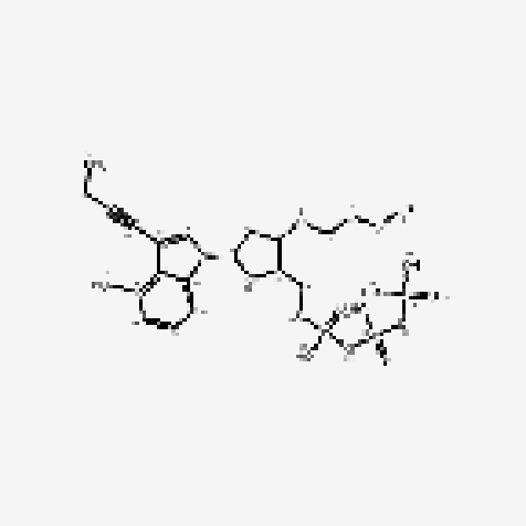 CC(C)(C)SSCO[C@@H]1C[C@H](n2cc(C#CCN)c3c(N)ncnc32)O[C@@H]1COP(=O)(O)OP(=O)(O)OP(=O)(O)O